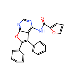 O=C(Nc1ncnc2oc(-c3ccccc3)c(-c3ccccc3)c12)c1ccco1